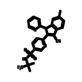 Cc1ccc2c(C#N)c(-c3ccc(S(=O)(=O)NC(C)(C)C(F)(F)F)cn3)n(-c3ccccn3)c2c1